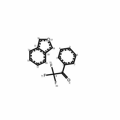 O=C(c1ccccc1)C(F)(F)F.c1ccc2cocc2c1